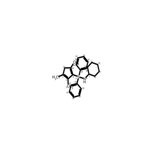 CC1=C(C)C([Si](NC2CCCCC2)(c2ccccc2)c2ccccc2)=C(C)C1